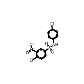 O=[N+]([O-])c1cc(S(=O)(=O)Nc2ccc(Cl)cc2)ccc1Cl